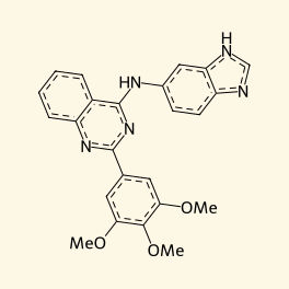 COc1cc(-c2nc(Nc3ccc4nc[nH]c4c3)c3ccccc3n2)cc(OC)c1OC